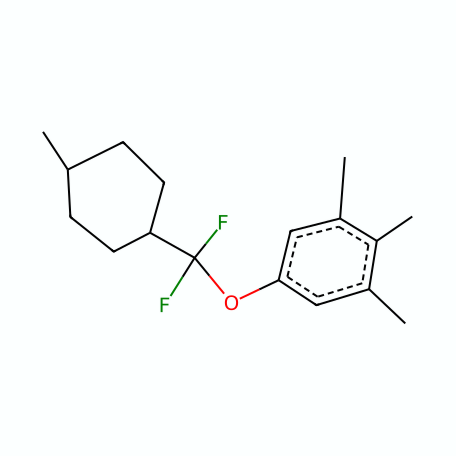 Cc1cc(OC(F)(F)C2CCC(C)CC2)cc(C)c1C